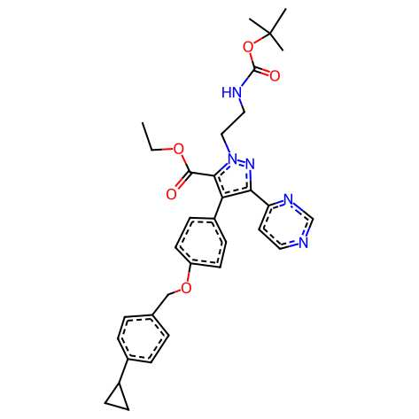 CCOC(=O)c1c(-c2ccc(OCc3ccc(C4CC4)cc3)cc2)c(-c2ccncn2)nn1CCNC(=O)OC(C)(C)C